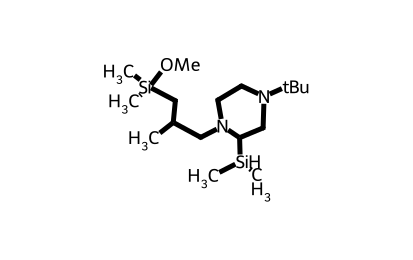 CO[Si](C)(C)CC(C)CN1CCN(C(C)(C)C)CC1[SiH](C)C